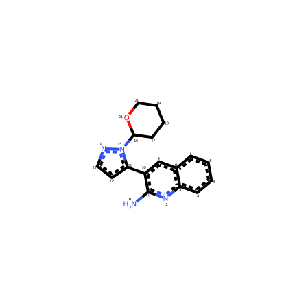 Nc1nc2ccccc2cc1-c1ccnn1C1CCCCO1